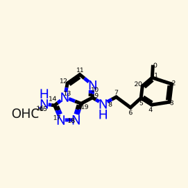 Cc1cccc(CCNc2nccn3c(NC=O)nnc23)c1